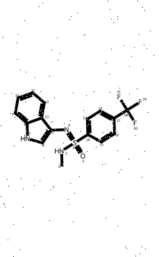 CNS(=O)(=Nc1c[nH]c2ccccc12)c1ccc(C(F)(F)F)cc1